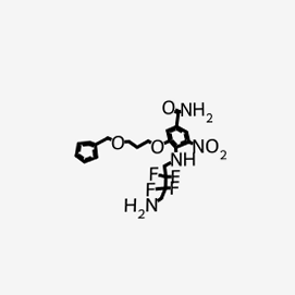 NCC(F)(F)C(F)(F)CNc1c(OCCCOCc2ccccc2)cc(C(N)=O)cc1[N+](=O)[O-]